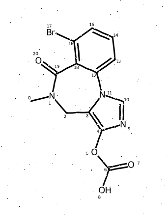 CN1Cc2c(OC(=O)O)ncn2-c2cccc(Br)c2C1=O